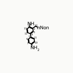 CCCCCCCCCCc1cc(-c2ccc(N)cc2)ccc1N